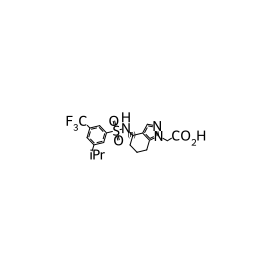 CC(C)c1cc(C(F)(F)F)cc(S(=O)(=O)N[C@@H]2CCCc3c2cnn3CC(=O)O)c1